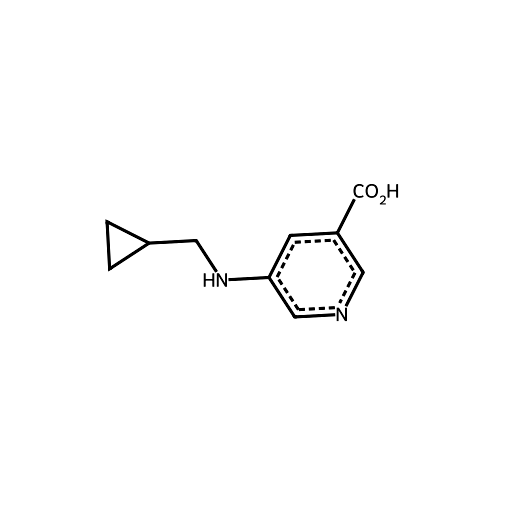 O=C(O)c1cncc(NCC2CC2)c1